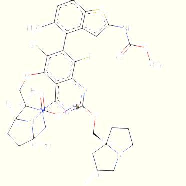 Cc1ccc2sc(NC(=O)OC(C)(C)C)cc2c1-c1c(Cl)c2c3c(nc(OC[C@@]45CCCN4C[C@H](F)C5)nc3c1F)N1C[C@H]3CC[C@@H]([C@H]1CO2)N3C(=O)OC(C)(C)C